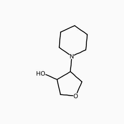 OC1COCC1N1CCCCC1